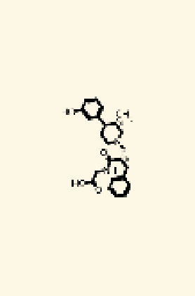 C[C@H]1CN(C[C@H](Cc2ccccc2)C(=O)NCC(=O)O)CCC1c1cccc(O)c1